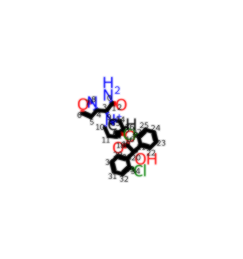 NC(=O)C(c1ccon1)[N+]12CCC(CC1)[C@@H](OC(=O)C(O)(c1ccccc1Cl)c1ccccc1Cl)C2